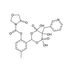 Cc1ccc(OC(=O)N2COCC2=O)c(C2OP(=O)(O)C(O)(Cc3cccnc3)P(=O)(O)O2)c1